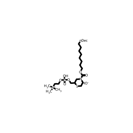 CCCCCCCCCCCCCCCCCCOC(=O)N1CCSC(COP(=O)(O)OCC[N+](C)(C)C)C1.[OH-]